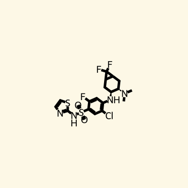 CN(C)[C@H]1CC2C(C[C@@H]1Nc1cc(F)c(S(=O)(=O)Nc3nccs3)cc1Cl)C2(F)F